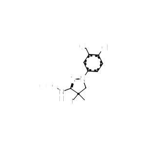 CC1(I)CN(c2ccc(Cl)c(Cl)c2)N=C1NC=O